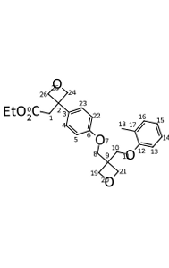 CCOC(=O)CC1(c2ccc(OCC3(COc4ccccc4C)COC3)cc2)COC1